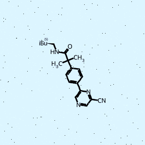 CC[C@H](C)CNC(=O)C(C)(C)c1ccc(-c2cncc(C#N)n2)cc1